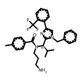 Cc1ccc(C(=O)N(CCCN)[C@@H](c2nc(-c3ccccc3C(F)(F)F)cn2Cc2ccccc2)C(C)C)cc1